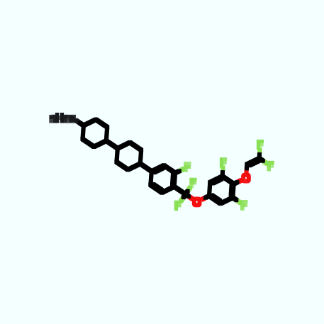 CCCCCCC1CCC(C2CCC(c3ccc(C(F)(F)Oc4cc(F)c(OC=C(F)F)c(F)c4)c(F)c3)CC2)CC1